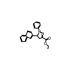 CCOC(=O)C1=NN(c2ccccc2)C(c2ccc3ccccc3c2)C1